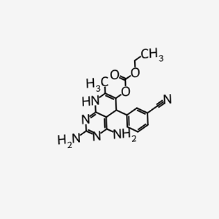 CCOC(=O)OC1=C(C)Nc2nc(N)nc(N)c2C1c1cccc(C#N)c1